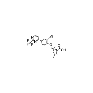 CC(C)CC(C)(COc1ccc(-c2ccnc(C(F)(F)F)n2)cc1C#N)NC(=O)O